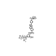 CNC(=O)c1ccc(-c2cn3c(n2)sc2cc(C(=O)NC[C@H]4CCN(C(=O)OC(C)(C)C)C[C@@H]4O)ccc23)cc1